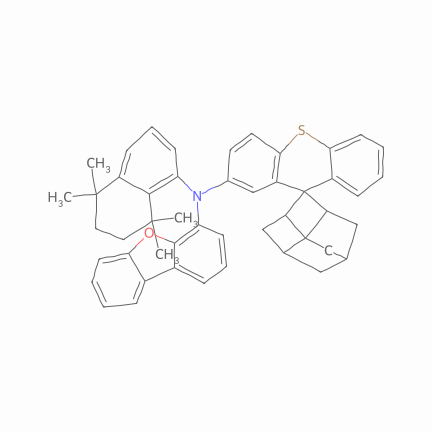 CC1(C)CCC(C)(C)c2c(N(c3ccc4c(c3)C3(c5ccccc5S4)C4CC5CC6CC3C64C5)c3cccc4c3oc3ccccc34)cccc21